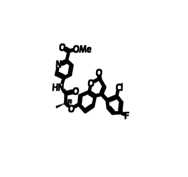 COC(=O)c1ccc(NC(=O)[C@@H](C)Oc2ccc3c(-c4ccc(F)cc4Cl)cc(=O)oc3c2)cn1